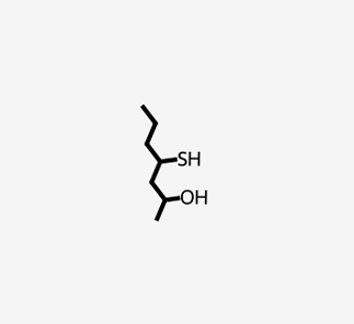 CCCC(S)CC(C)O